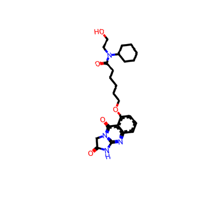 O=C1Cn2c(nc3cccc(OCCCCCC(=O)N(CCO)C4CCCCC4)c3c2=O)N1